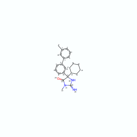 Cc1cccc(-c2cccc(C3(C4CCCCC4)NC(=N)N(C)C3=O)c2)c1